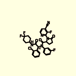 N#Cc1ccnc(N2C(=O)CCC2C(=O)N(c2cccc(F)c2)[C@H](C(=O)NC2CCC(F)(F)CC2)c2ccccc2Cl)c1F